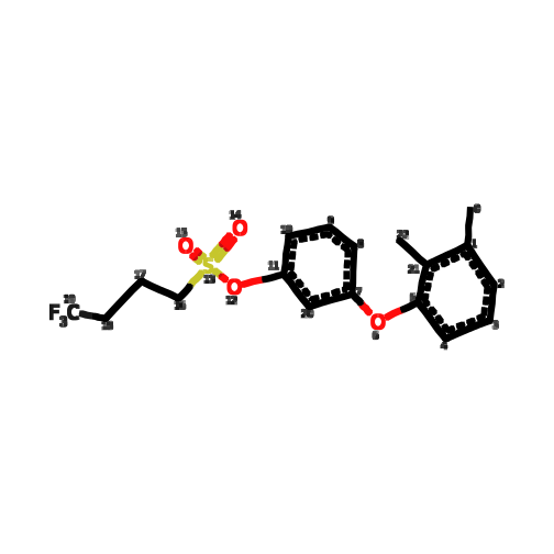 Cc1cccc(Oc2cccc(OS(=O)(=O)CCCC(F)(F)F)c2)c1C